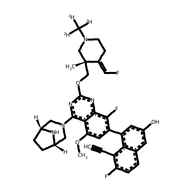 [2H]C([2H])([2H])N1CC/C(=C\F)[C@](C)(COc2nc(N3C[C@H]4CC[C@@H](C3)N4)c3c(OC)cc(-c4cc(O)cc5ccc(F)c(C#C)c45)c(F)c3n2)C1